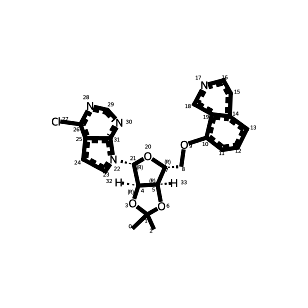 CC1(C)O[C@@H]2[C@H](O1)[C@@H](COc1cccc3ccncc13)O[C@H]2n1ccc2c(Cl)ncnc21